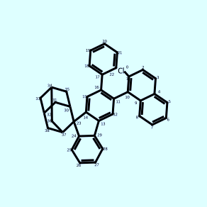 Clc1ccc2ccccc2c1-c1cc2c(cc1-c1ccccc1)C1(c3ccccc3-2)C2CC3CC(C2)CC1C3